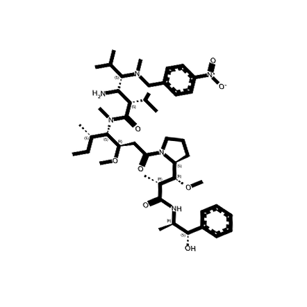 CC[C@H](C)[C@@H]([C@@H](CC(=O)N1CCC[C@H]1[C@H](OC)[C@@H](C)C(=O)N[C@H](C)[C@@H](O)c1ccccc1)OC)N(C)C(=O)[C@@H](C(C)C)C(N)[C@H](C(C)C)N(C)Cc1ccc([N+](=O)[O-])cc1